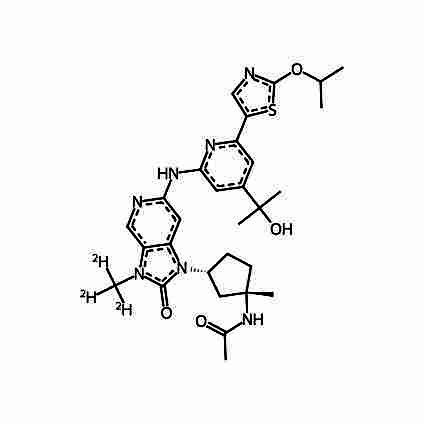 [2H]C([2H])([2H])n1c(=O)n([C@@H]2CC[C@](C)(NC(C)=O)C2)c2cc(Nc3cc(C(C)(C)O)cc(-c4cnc(OC(C)C)s4)n3)ncc21